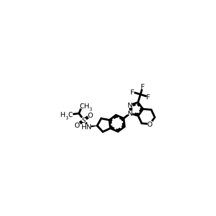 CC(C)S(=O)(=O)N[C@@H]1Cc2ccc(-n3nc(C(F)(F)F)c4c3COCC4)cc2C1